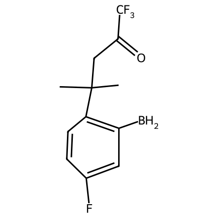 Bc1cc(F)ccc1C(C)(C)CC(=O)C(F)(F)F